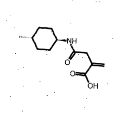 C=C(CC(=O)N[C@H]1CC[C@H](C)CC1)C(=O)O